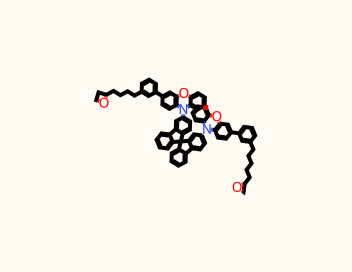 c1cc(CCCCCC2CO2)cc(-c2ccc3c(c2)Oc2ccccc2N3c2ccc3c(c2)C2(c4ccccc4-c4cc(N5c6ccccc6Oc6cc(-c7cccc(CCCCC8CCO8)c7)ccc65)ccc42)c2ccccc2-3)c1